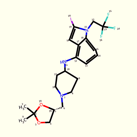 CC1(C)OC[C@@H](CN2CCC(Nc3cccc4c3cc(I)n4CC(F)(F)F)CC2)O1